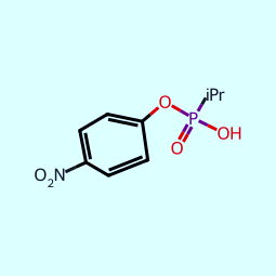 CC(C)P(=O)(O)Oc1ccc([N+](=O)[O-])cc1